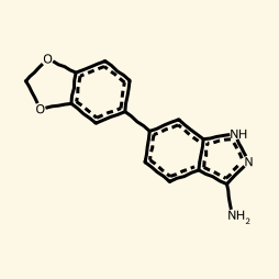 Nc1n[nH]c2cc(-c3ccc4c(c3)OCO4)ccc12